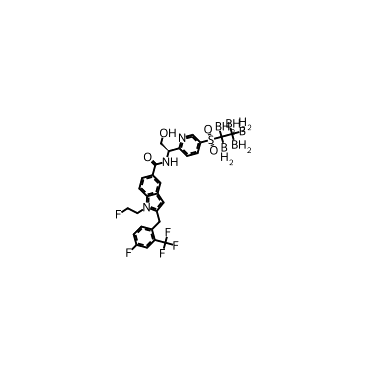 BC(B)(B)C(B)(B)S(=O)(=O)c1ccc([C@H](CO)NC(=O)c2ccc3c(c2)cc(Cc2ccc(F)cc2C(F)(F)F)n3CCF)nc1